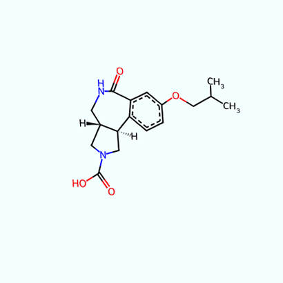 CC(C)COc1ccc2c(c1)C(=O)NC[C@H]1CN(C(=O)O)C[C@H]21